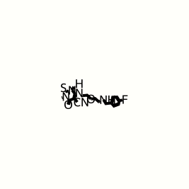 Cn1c(NCCOCCNCc2ccc(F)cc2)c(C#N)c(=O)n(C)c1=S